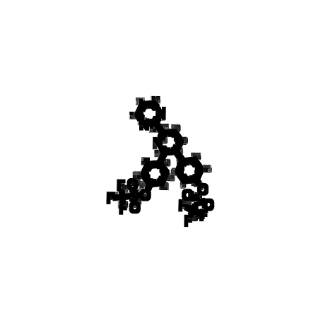 O=S(=O)(Oc1ccc(-c2ccc(-c3ncccn3)nc2-c2ccc(OS(=O)(=O)C(F)(F)F)cc2)cc1)C(F)(F)F